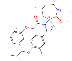 CCCOc1ccc(CN(C(=O)COc2ccccc2)[C@@]2(CC)CCCCNC2=O)cc1C